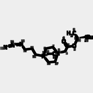 C[C@@H](OC(=O)C[N+]12CC[N+](CCCN=[N+]=[N-])(CC1)CC2)C(C)(C)C